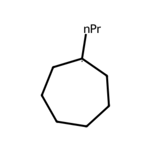 CCC[C]1CCCCCC1